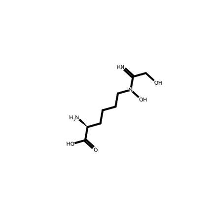 N=C(CO)N(O)CCCC[C@H](N)C(=O)O